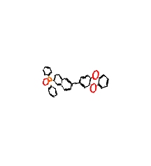 O=P(c1ccccc1)(c1ccccc1)c1ccc2cc(-c3ccc4c(c3)Oc3ccccc3O4)ccc2c1